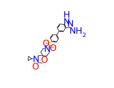 Nc1n[nH]c2ccc(-c3ccc(S(=O)(=O)N4CCC5(CC4)CN(C4CC4)C(=O)CO5)cc3)cc12